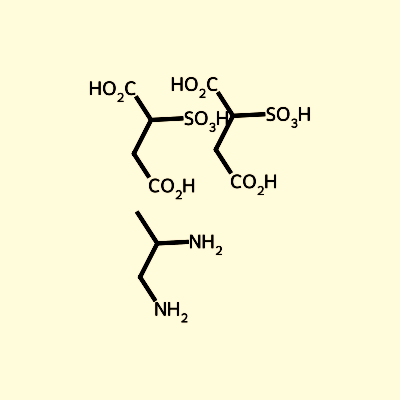 CC(N)CN.O=C(O)CC(C(=O)O)S(=O)(=O)O.O=C(O)CC(C(=O)O)S(=O)(=O)O